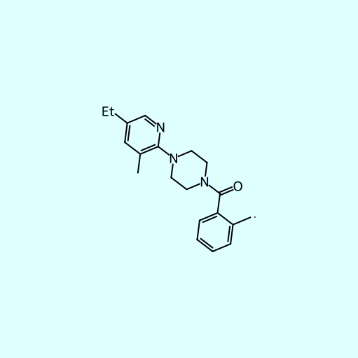 [CH2]c1ccccc1C(=O)N1CCN(c2ncc(CC)cc2C)CC1